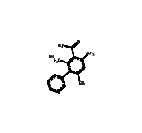 Cc1cc(C)c(-c2ccccc2)c(C)c1C(=O)P.[LiH]